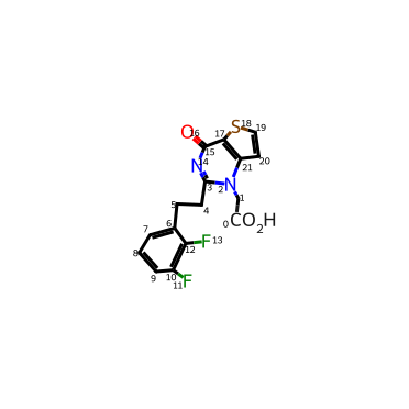 O=C(O)Cn1c(CCc2cccc(F)c2F)nc(=O)c2sccc21